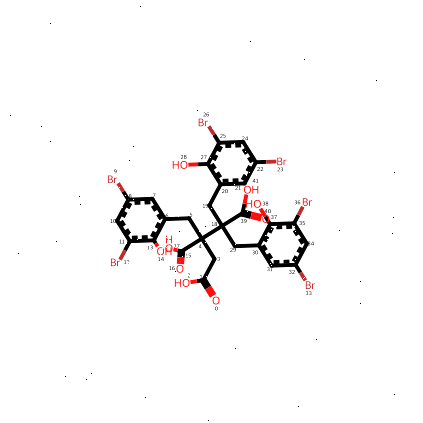 O=C(O)CC(Cc1cc(Br)cc(Br)c1O)(C(=O)O)C(Cc1cc(Br)cc(Br)c1O)(Cc1cc(Br)cc(Br)c1O)C(=O)O